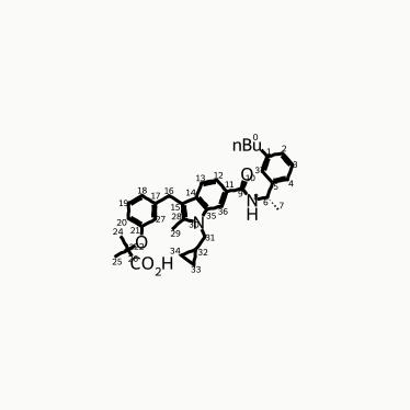 CCCCc1cccc([C@H](C)NC(=O)c2ccc3c(Cc4cccc(OC(C)(C)C(=O)O)c4)c(C)n(CC4CC4)c3c2)c1